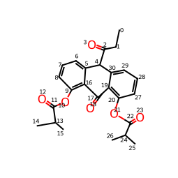 CCC(=O)C1c2cccc(OC(=O)C(C)C)c2C(=O)c2c(OC(=O)C(C)C)cccc21